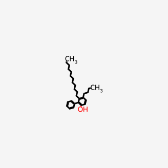 CCCCCCCCCCCCc1c(CCCC)ccc(O)c1-c1ccccc1